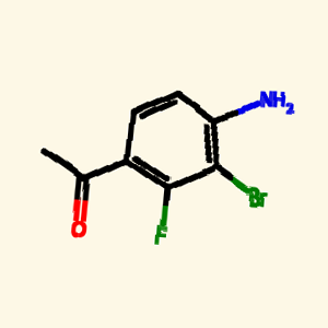 CC(=O)c1ccc(N)c(Br)c1F